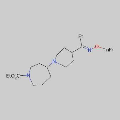 CCCO/N=C(\CC)C1CCN(C2CCCN(C(=O)OCC)CC2)CC1